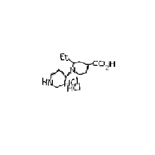 CCC1CC(C(=O)O)CCN1C1CCNCC1.Cl.Cl